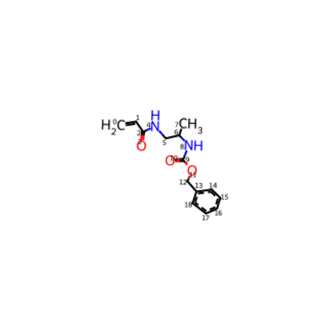 C=CC(=O)NCC(C)NC(=O)OCc1ccccc1